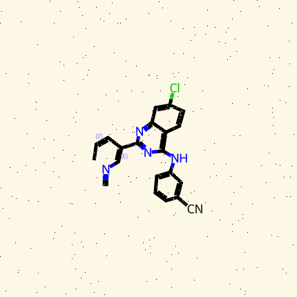 C=N/C=C(\C=C/C)c1nc(Nc2cccc(C#N)c2)c2ccc(Cl)cc2n1